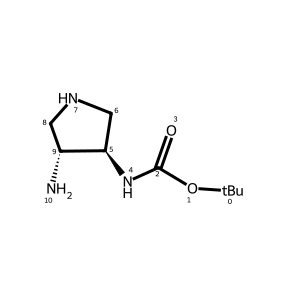 CC(C)(C)OC(=O)N[C@@H]1CNC[C@H]1N